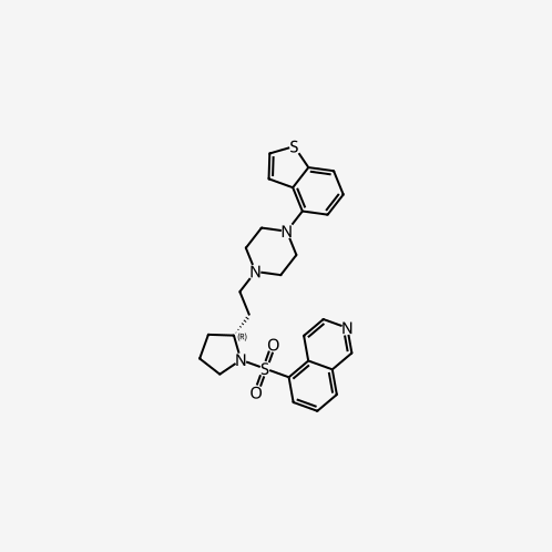 O=S(=O)(c1cccc2cnccc12)N1CCC[C@@H]1CCN1CCN(c2cccc3sccc23)CC1